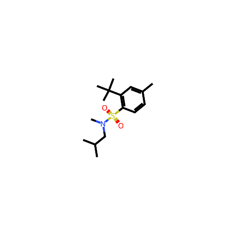 Cc1ccc(S(=O)(=O)N(C)CC(C)C)c(C(C)(C)C)c1